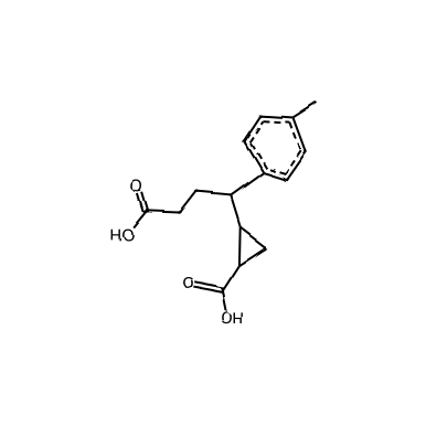 Cc1ccc(C(CCC(=O)O)C2CC2C(=O)O)cc1